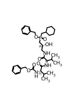 CC(C)[C@H](NC(=O)OCc1ccccc1)C(=O)N[C@H](C(=O)NC[C@@H](O)CP(=O)(CC1CCCCC1)OCc1ccccc1)C(C)C